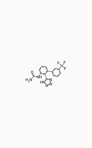 NC(=O)Nc1cccc(-c2cccc(C(F)(F)F)c2)c1-c1nnn[nH]1